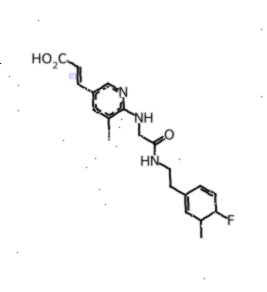 CC1C=C(CCNC(=O)CNc2ncc(/C=C/C(=O)O)cc2I)C=CC1F